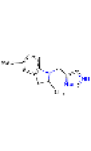 COc1ccc2c(c1)CC(C)N2Cc1c[nH]cn1